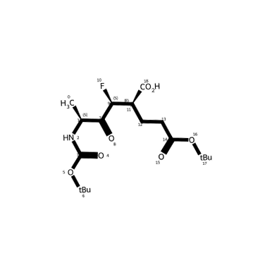 C[C@H](NC(=O)OC(C)(C)C)C(=O)[C@@H](F)[C@H](CCC(=O)OC(C)(C)C)C(=O)O